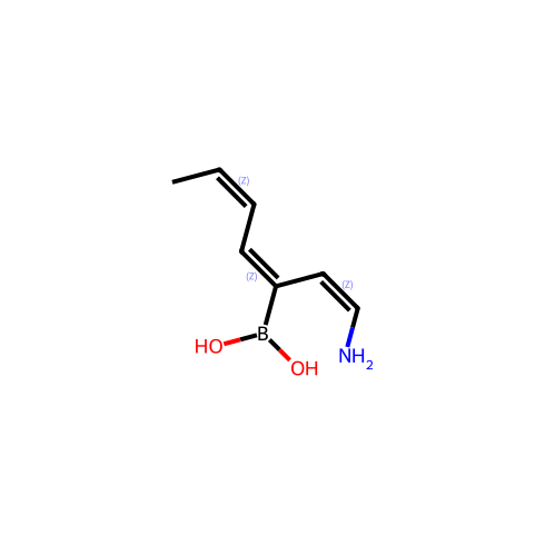 C\C=C/C=C(\C=C/N)B(O)O